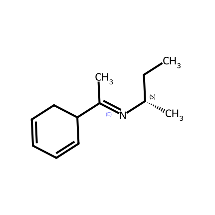 CC[C@H](C)/N=C(\C)C1C=CC=CC1